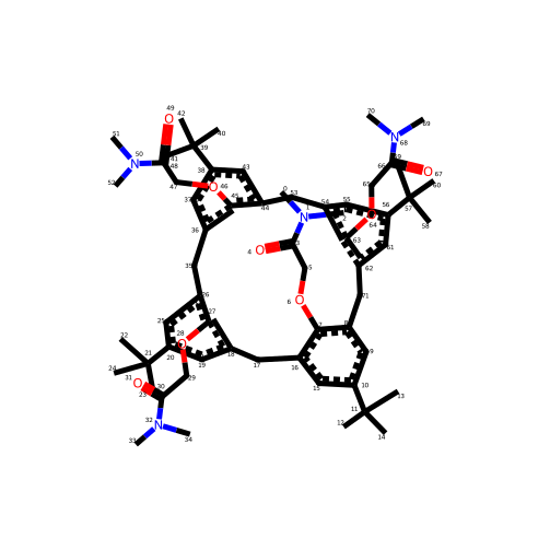 CN(C)C(=O)COc1c2cc(C(C)(C)C)cc1Cc1cc(C(C)(C)C)cc(c1OCC(=O)N(C)C)Cc1cc(C(C)(C)C)cc(c1OCC(=O)N(C)C)Cc1cc(C(C)(C)C)cc(c1OCC(=O)N(C)C)C2